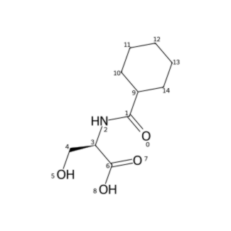 O=C(N[C@H](CO)C(=O)O)C1CCCCC1